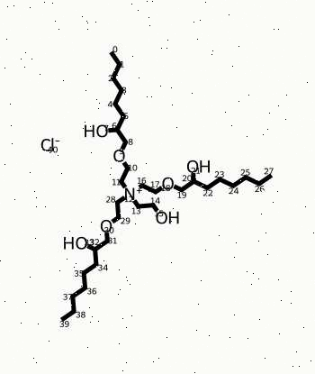 CCCCCCC(O)COCC[N+](CCO)(CCOCC(O)CCCCCC)CCOCC(O)CCCCCC.[Cl-]